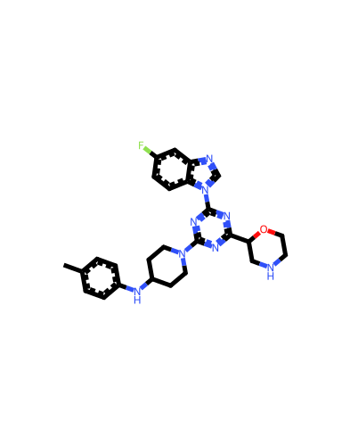 Cc1ccc(NC2CCN(c3nc(C4CNCCO4)nc(-n4cnc5cc(F)ccc54)n3)CC2)cc1